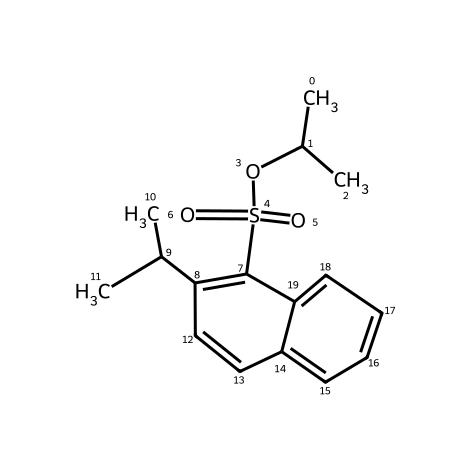 CC(C)OS(=O)(=O)c1c(C(C)C)ccc2ccccc12